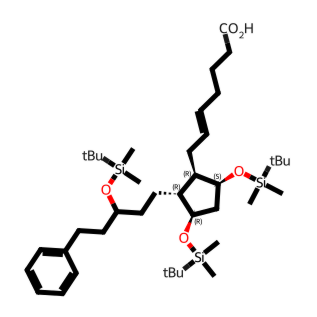 CC(C)(C)[Si](C)(C)OC(CCc1ccccc1)CC[C@@H]1[C@@H](CC=CCCCC(=O)O)[C@@H](O[Si](C)(C)C(C)(C)C)C[C@H]1O[Si](C)(C)C(C)(C)C